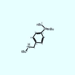 CCCCN(CCCC)c1ccc(CNC(C)(C)C)cc1